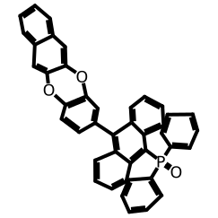 O=P(c1ccccc1)(c1ccccc1)c1c2ccccc2c(-c2ccc3c(c2)Oc2cc4ccccc4cc2O3)c2ccccc12